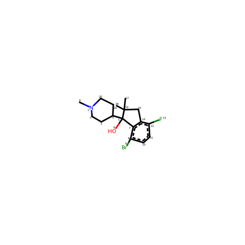 CN1CCC(C2(O)c3c(Br)ccc(F)c3CC2(C)C)CC1